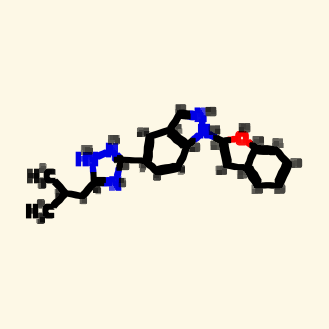 CC(C)Cc1nc(-c2ccc3c(cnn3-c3cc4ccccc4o3)c2)n[nH]1